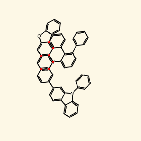 c1ccc(-c2ccccc2-c2c(-c3ccccc3)cccc2N(c2cccc(-c3ccc4c5ccccc5n(-c5ccccc5)c4c3)c2)c2ccc3oc4ccccc4c3c2)cc1